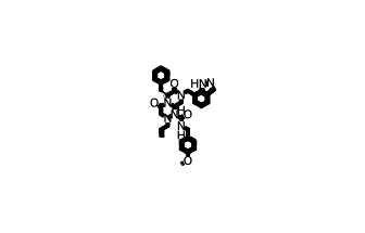 C=CCN1CC(=O)N2[C@@H](Cc3ccccc3)C(=O)N(Cc3cccc4cn[nH]c34)C[C@@H]2N1C(=O)NCc1ccc(OC)cc1